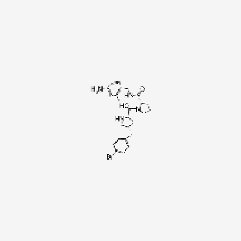 Cc1nc(N)ccc1CNC(=O)[C@@H]1CCCN1C(O)[C@H]1C[C@H](Cc2ccc(Br)cc2)CN1